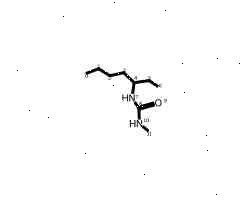 CCCCC(CC)NC(=O)NC